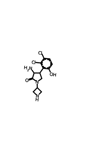 NC1C(=O)N(C2CNC2)CC1c1c(O)ccc(Cl)c1Cl